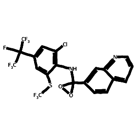 FC(F)(F)Sc1cc(C(F)(C(F)(F)F)C(F)(F)F)cc(Cl)c1NC1(c2ccc3cccnc3c2)OO1